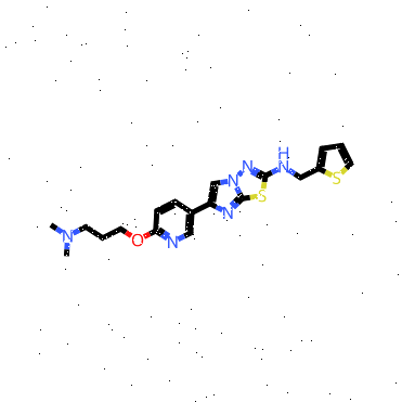 CN(C)CCCOc1ccc(-c2cn3nc(NCc4cccs4)sc3n2)cn1